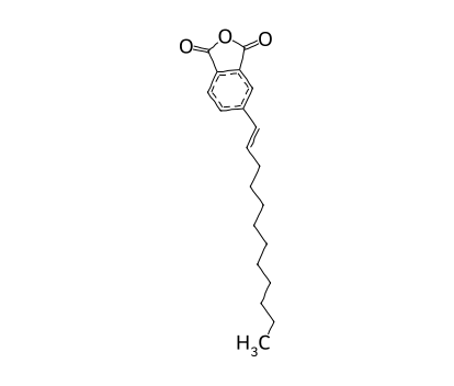 CCCCCCCCCCC=Cc1ccc2c(c1)C(=O)OC2=O